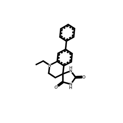 CCN1CCC2(NC(=O)NC2=O)c2ccc(-c3ccccc3)cc21